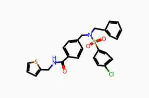 O=C(NCc1cccs1)c1ccc(CN(Cc2ccccc2)S(=O)(=O)c2ccc(Cl)cc2)cc1